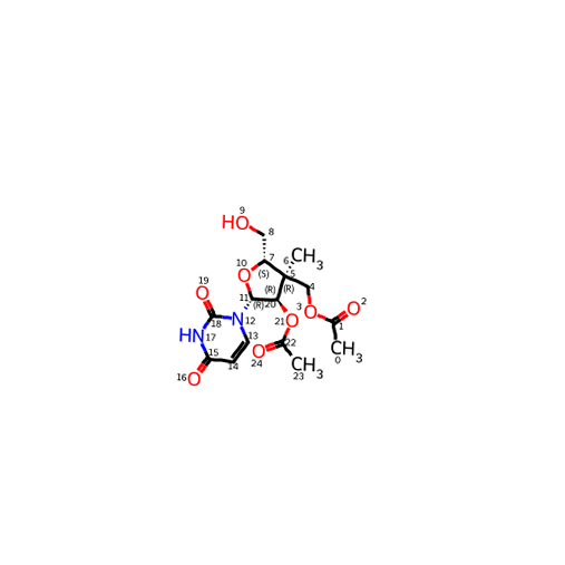 CC(=O)OC[C@]1(C)[C@@H](CO)O[C@@H](n2ccc(=O)[nH]c2=O)[C@@H]1OC(C)=O